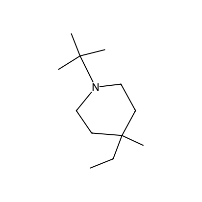 CCC1(C)CCN(C(C)(C)C)CC1